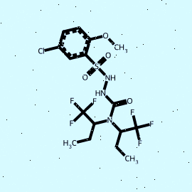 CCC(N(C(=O)NNS(=O)(=O)c1cc(Cl)ccc1OC)C(CC)C(F)(F)F)C(F)(F)F